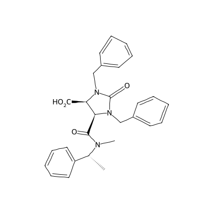 C[C@H](c1ccccc1)N(C)C(=O)[C@H]1[C@@H](C(=O)O)N(Cc2ccccc2)C(=O)N1Cc1ccccc1